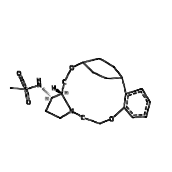 CS(=O)(=O)N[C@H]1CCN2CCOc3ccccc3C3CCC(CC3)OC[C@@H]12